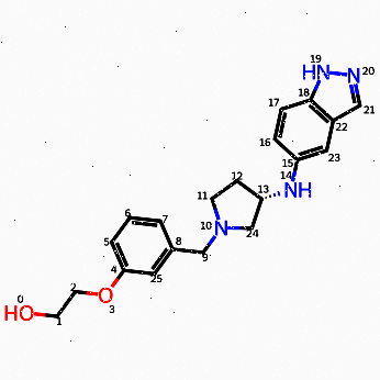 OCCOc1cccc(CN2CC[C@H](Nc3ccc4[nH]ncc4c3)C2)c1